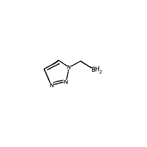 BCn1ccnn1